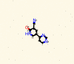 N#Cc1cc(-c2ccncn2)c[nH]c1=O